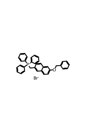 [Br-].c1ccc(COc2ccc3cc(C[P+](c4ccccc4)(c4ccccc4)c4ccccc4)ccc3c2)cc1